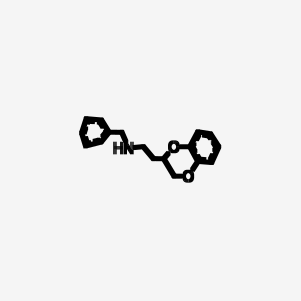 c1ccc(CNCCC2COc3ccccc3O2)cc1